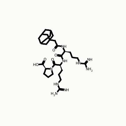 N=C(N)NCCC[C@H](NC(=O)CC12CC3CC(CC(C3)C1)C2)C(=O)N[C@@H](CCCNC(=N)N)C(=O)N1CCC[C@H]1C(=O)O